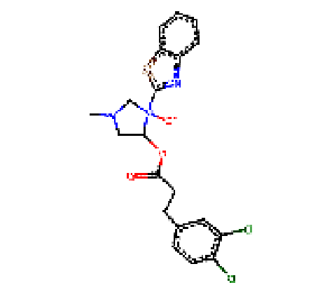 CN1CC(OC(=O)CCc2ccc(Cl)c(Cl)c2)[N+]([O-])(c2nc3ccccc3s2)C1